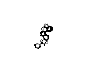 CC(Oc1ccc2c(-c3ccccc3C(N)=O)ccnc2c1)C(=O)N1CCCCC1